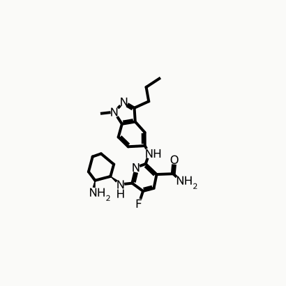 CCCc1nn(C)c2ccc(Nc3nc(N[C@@H]4CCCC[C@@H]4N)c(F)cc3C(N)=O)cc12